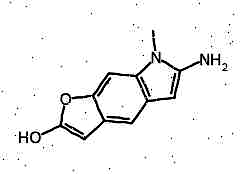 Cn1c(N)cc2cc3cc(O)oc3cc21